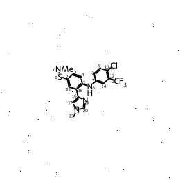 CNSc1ccc(Nc2ccc(Cl)c(C(F)(F)F)c2)c(-c2cn(C)cn2)c1